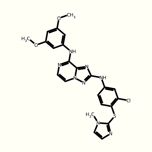 COc1cc(Nc2nccn3nc(Nc4ccc(Sc5nccn5C)c(Cl)c4)nc23)cc(OC)c1